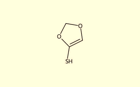 SC1=COCO1